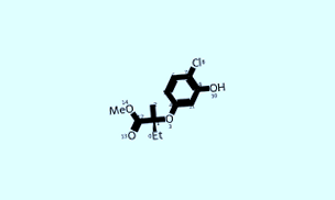 CC[C@@](C)(Oc1ccc(Cl)c(O)c1)C(=O)OC